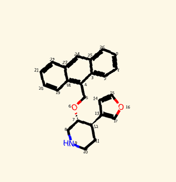 c1ccc2c(CO[C@H]3CNCC[C@@H]3c3ccoc3)c3ccccc3cc2c1